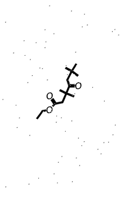 CCOC(=O)CC(C)(C)C(=O)CC(C)(C)C